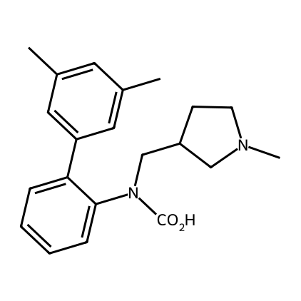 Cc1cc(C)cc(-c2ccccc2N(CC2CCN(C)C2)C(=O)O)c1